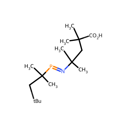 CC(C)(C)CC(C)(C)P=NC(C)(C)CC(C)(C)C(=O)O